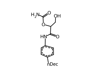 CCCCCCCCCCc1ccc(NC(=O)C(CO)OC(N)=O)cc1